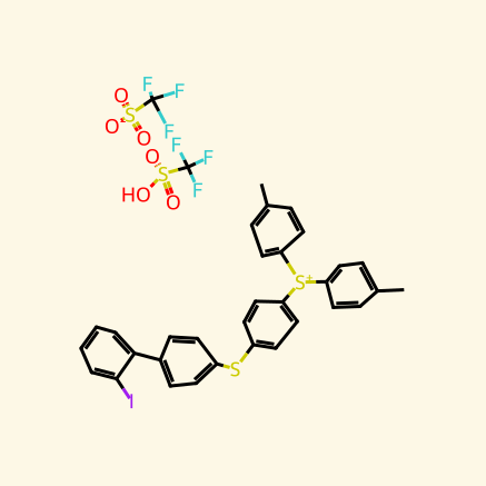 Cc1ccc([S+](c2ccc(C)cc2)c2ccc(Sc3ccc(-c4ccccc4I)cc3)cc2)cc1.O=S(=O)(O)C(F)(F)F.O=S(=O)([O-])C(F)(F)F